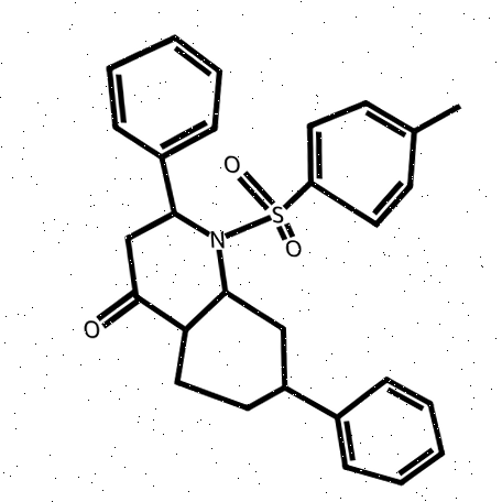 Cc1ccc(S(=O)(=O)N2C(c3ccccc3)CC(=O)C3CCC(c4ccccc4)CC32)cc1